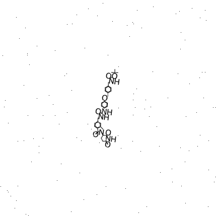 CC(C)(C)OC(=O)NCc1ccc(COc2ccc(NC(=O)NCc3ccc4c(c3)CN(C3CCC(=O)NC3=O)C4=O)cc2)cc1